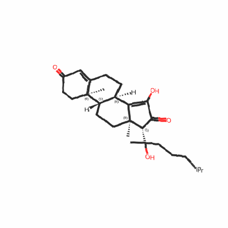 CC(C)CCCC(C)(O)[C@H]1C(=O)C(O)=C2[C@@H]3CCC4=CC(=O)CC[C@]4(C)[C@H]3CC[C@@]21C